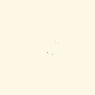 CC(=O)OCC1=C(C(=O)OCC(=O)c2ccccc2)N2C(=O)[C@@H](NC(=O)COc3ccccc3)[C@H]2SC1